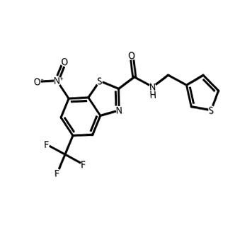 O=C(NCc1ccsc1)c1nc2cc(C(F)(F)F)cc([N+](=O)[O-])c2s1